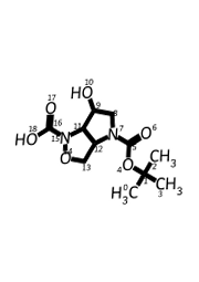 CC(C)(C)OC(=O)N1CC(O)C2C1CON2C(=O)O